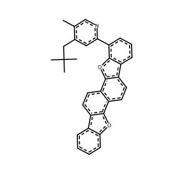 Cc1cnc(-c2cccc3c2oc2c3ccc3c2ccc2c4ccccc4oc23)cc1CC(C)(C)C